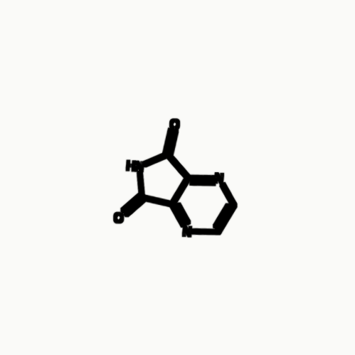 O=C1NC(=O)c2nccnc21